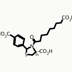 O=C(O)CCCCCCCC(=O)N1C(c2ccc(C(=O)O)cc2)SC[C@H]1C(=O)O